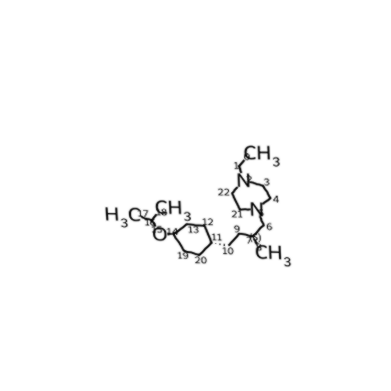 CCN1CCN(C[C@@H](C)CC[C@H]2CC[C@H](OC(C)C)CC2)CC1